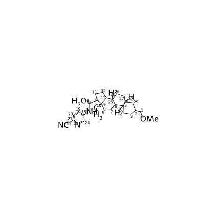 COC[C@H]1CC[C@@H]2C3CC[C@@]4(C)C(CCC4[C@@H](C)Nc4ccc(C#N)nc4)[C@@H]3CC[C@@H]2C1